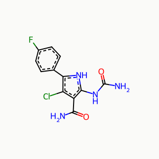 NC(=O)Nc1[nH]c(-c2ccc(F)cc2)c(Cl)c1C(N)=O